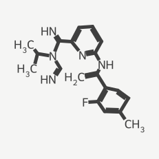 C=C(Nc1cccc(C(=N)N(C=N)C(C)C)n1)c1ccc(C)cc1F